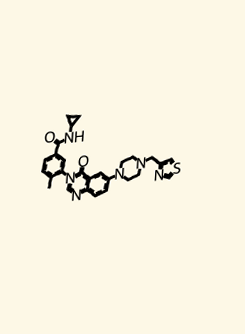 Cc1ccc(C(=O)NC2CC2)cc1-n1cnc2ccc(N3CCN(Cc4cscn4)CC3)cc2c1=O